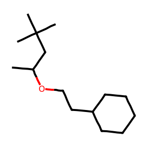 CC(CC(C)(C)C)OCCC1CCCCC1